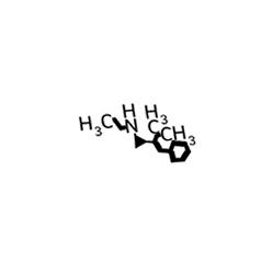 CCCN[C@H]1C[C@@H]1/C(=C/c1ccccc1)C(C)C